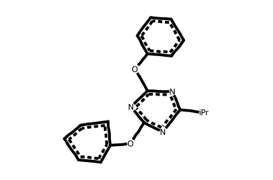 CC(C)c1nc(Oc2ccccc2)nc(Oc2ccccc2)n1